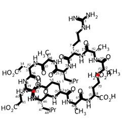 CC(C)C[C@H](NC(=O)[C@H](CCCNC(=N)N)NC(=O)[C@H](C)NC(=O)[C@H](C)N)C(=O)N[C@@H](C)C(=O)N[C@@H](CC(=O)O)C(=O)N[C@@H](CCC(=O)O)C(=O)N[C@@H](CC(C)C)C(=O)N[C@@H](CCCNC(=N)N)C(=O)N[C@@H](C)C(=O)N[C@@H](CCC(=O)O)C(=O)O